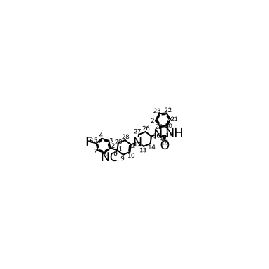 N#CC1(c2ccc(F)cc2)CC=C(N2CCC(n3c(=O)[nH]c4ccccc43)CC2)CC1